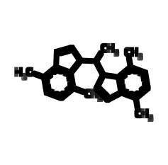 Cc1ccc(C)c2c1C=CC2C(C)C1C=Cc2c(C)ccc(C)c21